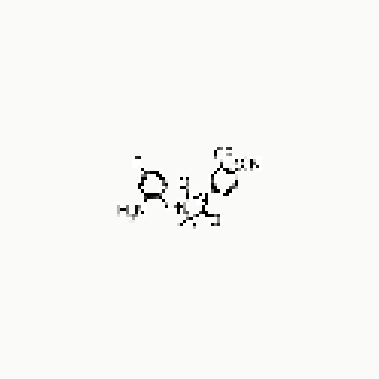 CC1(C)C(=O)N(c2ccc(C#N)c(C(F)(F)F)c2)C(=O)N1Cc1ccc(F)cc1N